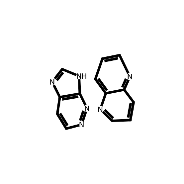 c1cc2nc[nH]c2nn1.c1cnc2cccnc2c1